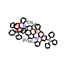 CC(C)c1cc(N(c2c(C#N)cccc2-c2cccc([Si](c3ccccc3)(c3ccccc3)c3ccccc3)c2)c2cccc3c2oc2ccccc23)c2ccc3c(C(C)C)cc(N(c4c(C#N)cccc4-c4cccc([Si](c5ccccc5)(c5ccccc5)c5ccccc5)c4)c4cccc5c4oc4ccccc45)c4ccc1c2c34